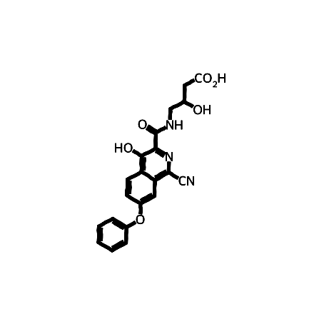 N#Cc1nc(C(=O)NCC(O)CC(=O)O)c(O)c2ccc(Oc3ccccc3)cc12